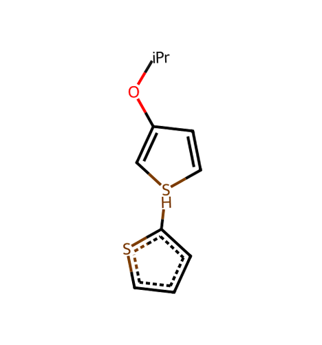 CC(C)OC1=C[SH](c2cccs2)C=C1